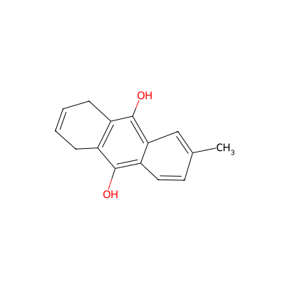 Cc1ccc2c(O)c3c(c(O)c2c1)CC=CC3